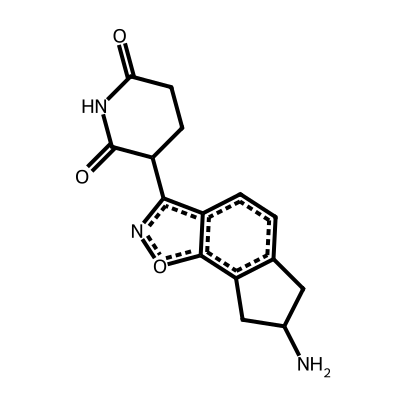 NC1Cc2ccc3c(C4CCC(=O)NC4=O)noc3c2C1